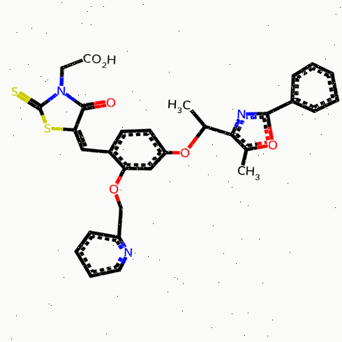 Cc1oc(-c2ccccc2)nc1C(C)Oc1ccc(/C=C2/SC(=S)N(CC(=O)O)C2=O)c(OCc2ccccn2)c1